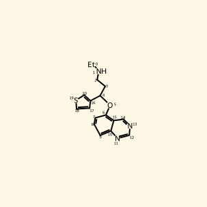 CCNCCC(Oc1cccc2ncncc12)c1ccsc1